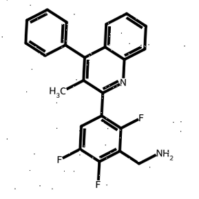 Cc1c(-c2cc(F)c(F)c(CN)c2F)nc2ccccc2c1-c1ccccc1